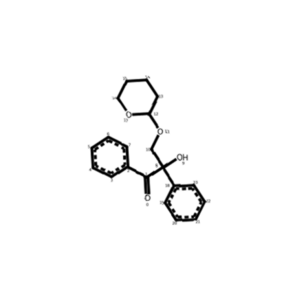 O=C(c1ccccc1)C(O)(COC1CCCCO1)c1ccccc1